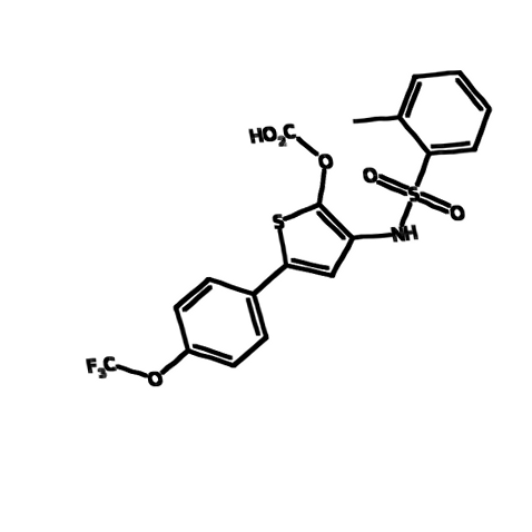 Cc1ccccc1S(=O)(=O)Nc1cc(-c2ccc(OC(F)(F)F)cc2)sc1OC(=O)O